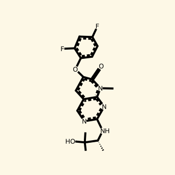 C[C@@H](Nc1ncc2cc(Oc3ccc(F)cc3F)c(=O)n(C)c2n1)C(C)(C)O